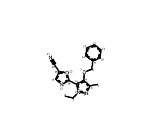 CCn1nc(C)c(OCc2ccccc2)c1-c1ncc(C#N)o1